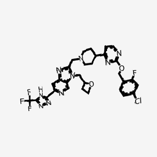 Fc1cc(Cl)ccc1COc1nccc(C2CCN(Cc3nc4cc(-c5nnc(C(F)(F)F)[nH]5)ncc4n3CC3CCO3)CC2)n1